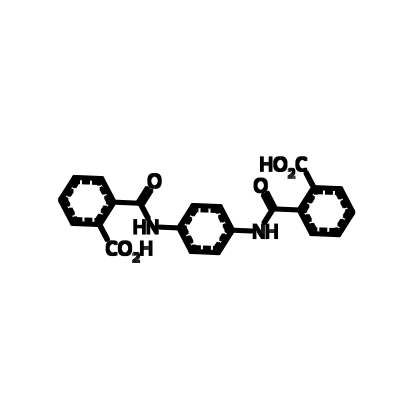 O=C(O)c1ccccc1C(=O)Nc1ccc(NC(=O)c2ccccc2C(=O)O)cc1